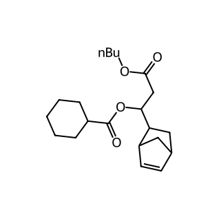 CCCCOC(=O)CC(OC(=O)C1CCCCC1)C1CC2C=CC1C2